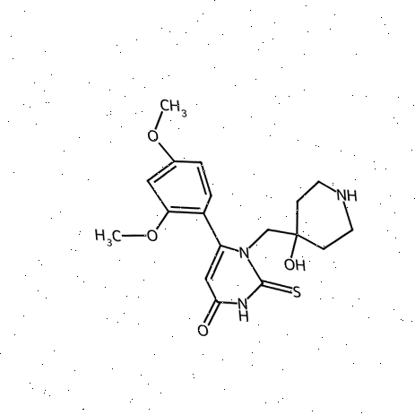 COc1ccc(-c2cc(=O)[nH]c(=S)n2CC2(O)CCNCC2)c(OC)c1